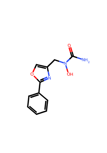 NC(=O)N(O)Cc1coc(-c2ccccc2)n1